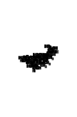 C=C1C[C@@]2(C)CCC3C(C)(CCC[C@@]3(C)C(=O)O[C@@H]3OC(CO)[C@@H](O)C(O)C3O)[C@@H]2CC[C@H]1OC[C@@H]1OC(CO)[C@@H](O)C(COC[C@@H]2OC(CO)[C@@H](O)C(O)C2O)C1O[C@@H]1OC(CO)[C@@H](O)C(O)C1O